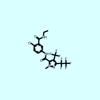 CCNC(=O)c1cc(NC(=O)c2c(C(F)(F)F)c(C(F)(F)C(F)(F)F)nn2C)ccc1Cl